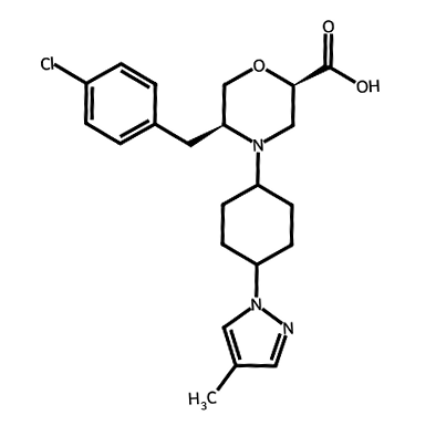 Cc1cnn(C2CCC(N3C[C@H](C(=O)O)OC[C@@H]3Cc3ccc(Cl)cc3)CC2)c1